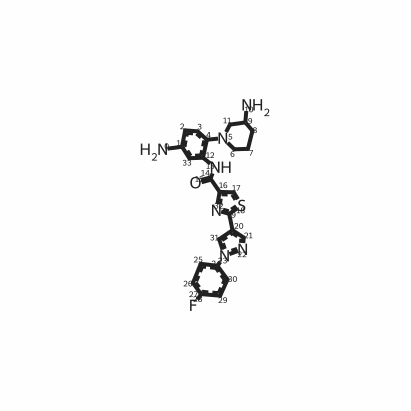 Nc1ccc(N2CCCC(N)C2)c(NC(=O)c2csc(-c3cnn(-c4ccc(F)cc4)c3)n2)c1